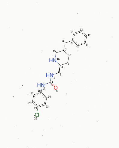 O=C(NC[C@@H]1CC[C@@H](Cc2ccccc2)CN1)Nc1ccc(Cl)cc1